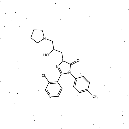 O=c1n(CC(O)CN2CCCC2)nc(-c2ccncc2Cl)n1-c1ccc(C(F)(F)F)cc1